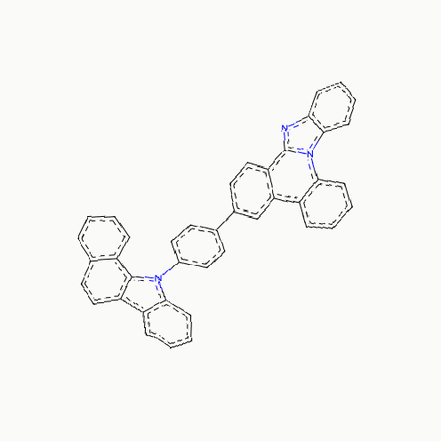 c1ccc2c(c1)ccc1c3ccccc3n(-c3ccc(-c4ccc5c(c4)c4ccccc4n4c6ccccc6nc54)cc3)c21